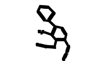 Cc1c(-c2ccccc2)ccc(N=C=O)c1N=C=O